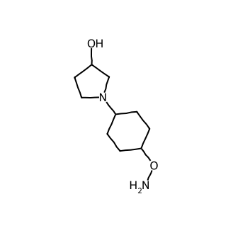 NOC1CCC(N2CCC(O)C2)CC1